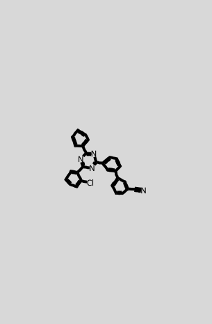 N#Cc1cccc(-c2cccc(-c3nc(-c4ccccc4)nc(-c4ccccc4Cl)n3)c2)c1